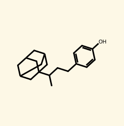 CC(CCc1ccc(O)cc1)C12CC3CC(CC(C3)C1)C2